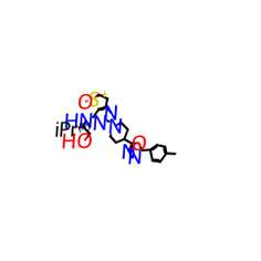 Cc1ccc(-c2nnc(C3CCN(c4nc5c(c(N[C@@H](CO)C(C)C)n4)[S+]([O-])CC5)CC3)o2)cc1